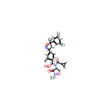 CCN1OC[C@@H](N(C(=O)C2CC2)C(O)c2ccc(C3=NOC(c4cc(Cl)cc(Cl)c4)(C(F)(F)F)C3)cc2C)C1=O